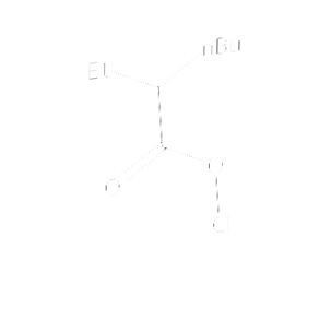 CCCCC(CC)C(=O)OCl